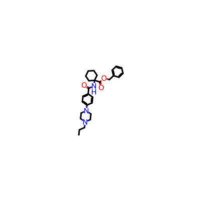 CCCN1CCN(c2ccc(C(=O)NC3(C(=O)OCc4ccccc4)CCCCC3)cc2)CC1